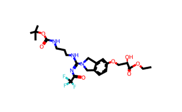 CCOC(=O)[C@H](O)COc1ccc2c(c1)CN(/C(=N\C(=O)C(F)(F)F)NCCCNC(=O)OC(C)(C)C)C2